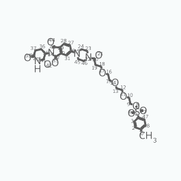 Cc1ccc(S(=O)(=O)OCCOCCOCCOCCC(=O)N2CCN(c3ccc4c(c3)C(=O)N(C3CCC(=O)NC3=O)C4=O)CC2)cc1